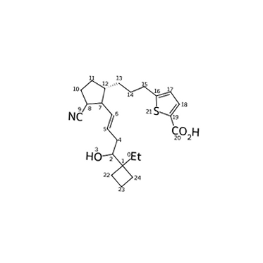 CCC1(C(O)C/C=C/C2C(C#N)CC[C@@H]2CCCc2ccc(C(=O)O)s2)CCC1